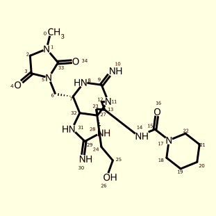 CN1CC(=O)N(C[C@@H]2NC(=N)N3CC(NC(=O)N4CCCCC4)C(CCO)[C@@]34NC(=N)NC24)C1=O